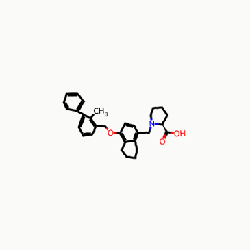 Cc1c(COc2ccc(CN3CCCC[C@H]3C(=O)O)c3c2CCCC3)cccc1-c1ccccc1